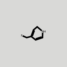 FCC1=CCNC=C1